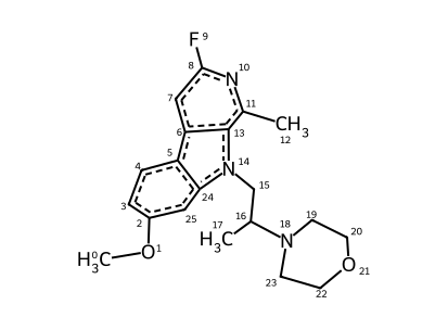 COc1ccc2c3cc(F)nc(C)c3n(CC(C)N3CCOCC3)c2c1